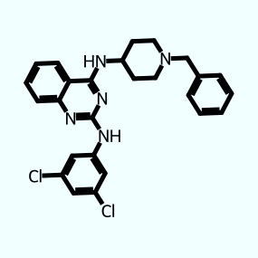 Clc1cc(Cl)cc(Nc2nc(NC3CCN(Cc4ccccc4)CC3)c3ccccc3n2)c1